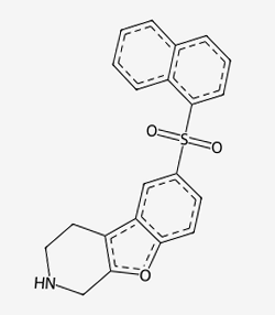 O=S(=O)(c1ccc2oc3c(c2c1)CCNC3)c1cccc2ccccc12